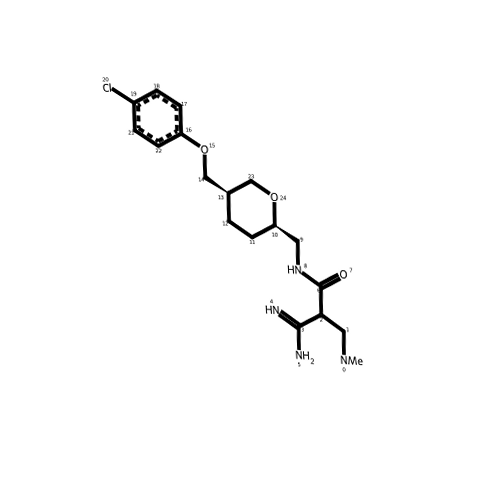 CNCC(C(=N)N)C(=O)NC[C@H]1CC[C@@H](COc2ccc(Cl)cc2)CO1